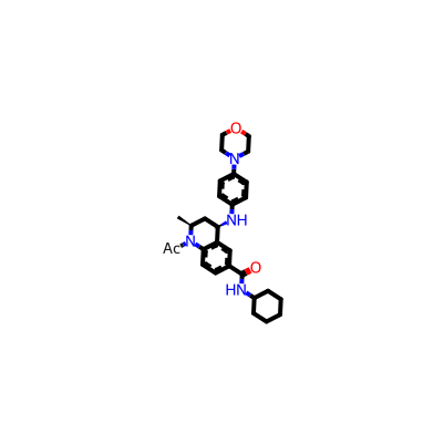 CC(=O)N1c2ccc(C(=O)NC3CCCCC3)cc2[C@H](Nc2ccc(N3CCOCC3)cc2)C[C@@H]1C